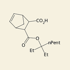 CCCCCC(CC)(CC)OC(=O)C1C2C=CC(C2)C1C(=O)O